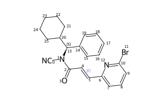 N#CN(C(=O)/C=C/c1cccc(Br)n1)[C@H](c1ccccc1)C1CCCCC1